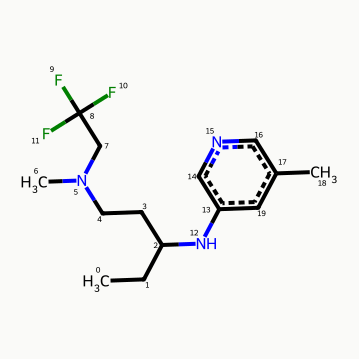 CCC(CCN(C)CC(F)(F)F)Nc1cncc(C)c1